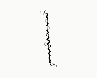 CCCCCCCCOC(=O)CCCOCCOCCOCCCC